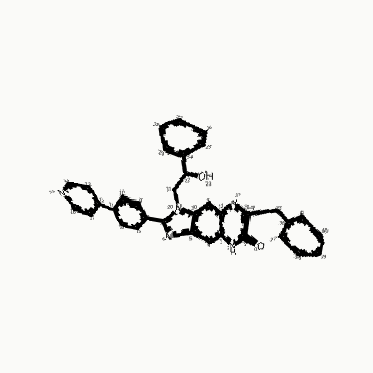 O=c1[nH]c2cc3nc(-c4ccc(-c5ccncc5)cc4)n(CC(O)c4ccccc4)c3cc2nc1Cc1ccccc1